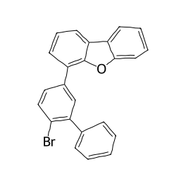 Brc1ccc(-c2cccc3c2oc2ccccc23)cc1-c1ccccc1